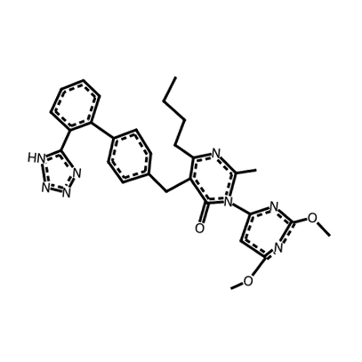 CCCCc1nc(C)n(-c2cc(OC)nc(OC)n2)c(=O)c1Cc1ccc(-c2ccccc2-c2nnn[nH]2)cc1